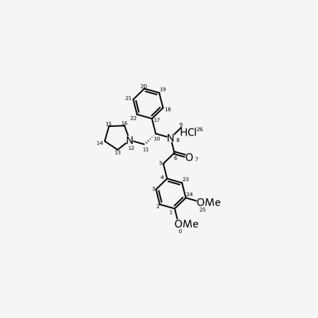 COc1ccc(CC(=O)N(C)[C@H](CN2CCCC2)c2ccccc2)cc1OC.Cl